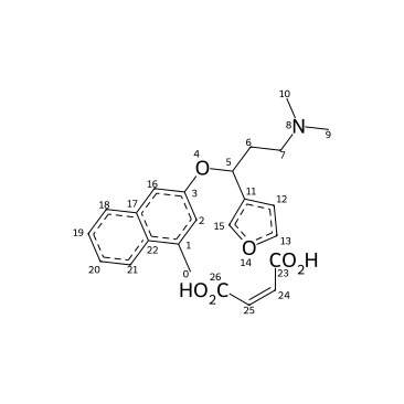 Cc1cc(OC(CCN(C)C)c2ccoc2)cc2ccccc12.O=C(O)/C=C\C(=O)O